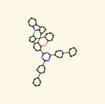 c1ccc(-c2ccc(-c3nc(-c4ccc(-c5ccccc5)cc4)nc(-c4cccc5c4Oc4ccccc4C54c5ccccc5-n5c6ccccc6c6cccc4c65)n3)cc2)cc1